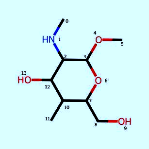 CNC1C(OC)OC(CO)C(C)C1O